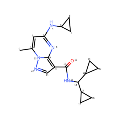 Cc1cc(NC2CC2)nc2c(C(=O)NC(C3CC3)C3CC3)cnn12